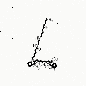 CCCCN1/C(=C/C=C/C=C/C=C/C2N(CCCCCC(=O)NCCCNCCCCNCCCN)c3ccccc3C2(C)C)C(C)(C)c2ccccc21